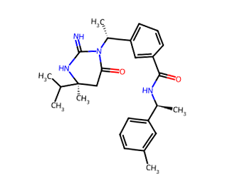 Cc1cccc([C@H](C)NC(=O)c2cccc([C@@H](C)N3C(=N)N[C@](C)(C(C)C)CC3=O)c2)c1